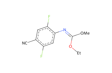 CCOC(=Nc1cc(F)c(C#N)cc1F)OC